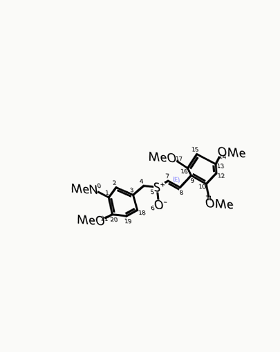 CNc1cc(C[S+]([O-])/C=C/c2c(OC)cc(OC)cc2OC)ccc1OC